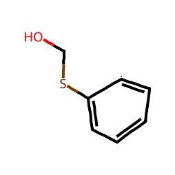 OCSc1[c]cccc1